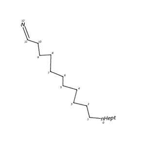 CCCCCCCCCCCCCCCCCC=[N]